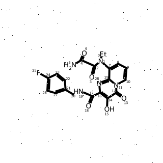 CCN(C(=O)C(N)=O)c1cccn2c(=O)c(O)c(C(=O)NCc3ccc(F)cc3)nc12